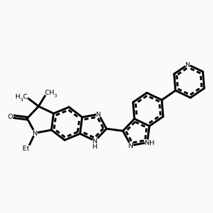 CCN1C(=O)C(C)(C)c2cc3nc(-c4n[nH]c5cc(-c6cccnc6)ccc45)[nH]c3cc21